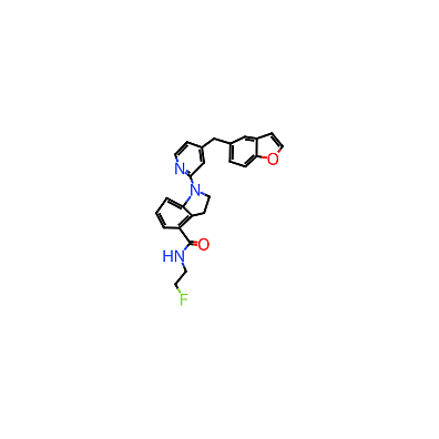 O=C(NCCF)c1cccc2c1CCN2c1cc(Cc2ccc3occc3c2)ccn1